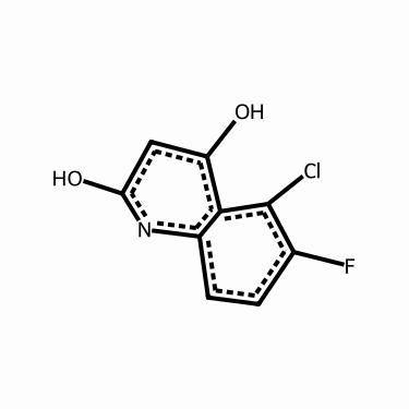 Oc1cc(O)c2c(Cl)c(F)ccc2n1